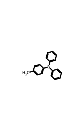 Cc1ccc(B(c2ccccc2)c2ccccc2)cc1